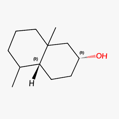 CC1CCCC2(C)C[C@H](O)CC[C@H]12